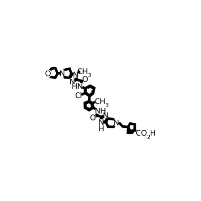 Cc1c(NC(=O)c2nc3c([nH]2)CCN(CCC24CCC(C(=O)O)(CC2)C4)C3)cccc1-c1cccc(NC(=O)c2nc3c(n2C)CCN(C2CCOCC2)C3)c1Cl